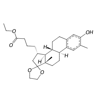 CCOC(=O)CCC[C@H]1CC2(OCCO2)[C@@]2(C)CC[C@@H]3c4cc(C)c(O)cc4CC[C@H]3[C@H]12